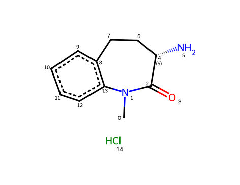 CN1C(=O)[C@@H](N)CCc2ccccc21.Cl